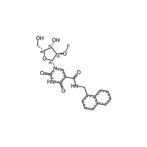 O=C(NCc1cccc2ccccc12)c1cn([C@@H]2O[C@H](CO)[C@H](O)[C@H]2OF)c(=O)[nH]c1=O